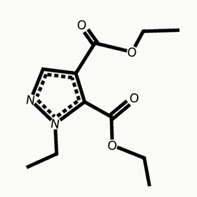 CCOC(=O)c1cnn(CC)c1C(=O)OCC